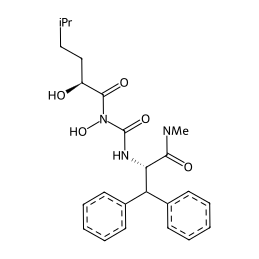 CNC(=O)[C@@H](NC(=O)N(O)C(=O)[C@@H](O)CCC(C)C)C(c1ccccc1)c1ccccc1